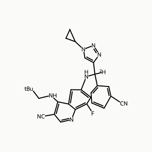 [2H]C(Nc1cc(F)c2ncc(C#N)c(NCC(C)(C)C)c2c1)(c1cccc(C#N)c1)c1cn(C2CC2)nn1